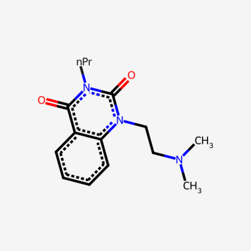 CCCn1c(=O)c2ccccc2n(CCN(C)C)c1=O